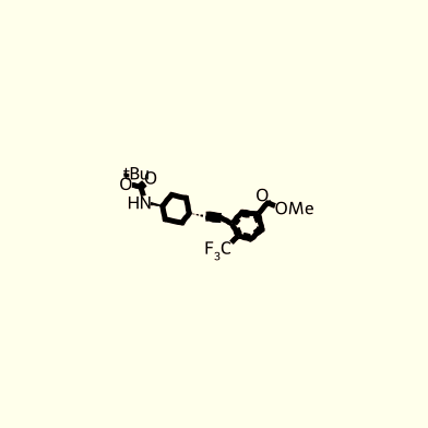 COC(=O)c1ccc(C(F)(F)F)c(C#C[C@H]2CC[C@H](NC(=O)OC(C)(C)C)CC2)c1